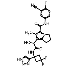 Cc1c(C(O)C(=O)NC2(c3c[nH]nn3)CC(F)(F)C2)c2n(c1C(=O)Nc1ccc(F)c(C#N)c1)CCC2